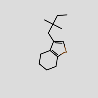 CCC(C)(C)Cc1csc2c1CCCC2